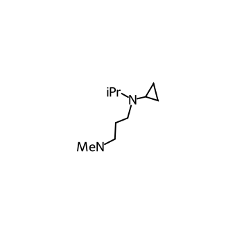 CNCCCN(C(C)C)C1CC1